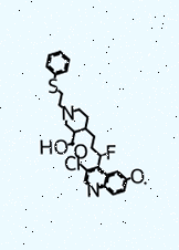 COc1ccc2ncc(Cl)c([C@H](F)CCC3CCN(CCSc4ccccc4)CC3C(=O)O)c2c1